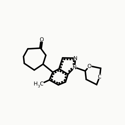 Cc1ccc2c(cnn2C2CCCCO2)c1C1CCCCC(=O)C1